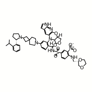 CC(C)c1ccccc1[C@@H]1CCCN1C1CC2(CCN(c3ccc(C(=O)NS(=O)(=O)c4ccc(NC[C@H]5COCCO5)c([N+](=O)[O-])c4)c(N4c5cc6cc[nH]c6nc5O[C@@H]5COC[C@H]54)c3)CC2)C1